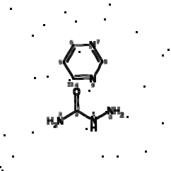 NNC(N)=O.c1cncnc1